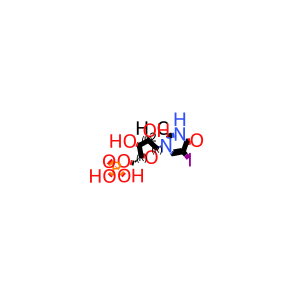 C=C1NC(=O)C(I)=CN1[C@@H]1O[C@H](COP(=O)(O)O)C(O)[C@H]1O